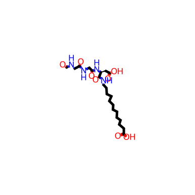 O=CNCC(=O)NCC(=O)N[C@@H](CC(=O)O)C(=O)NCCCCCCCCCCCCC(=O)O